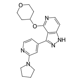 c1cc(-c2n[nH]c3ccnc(OC4CCOCC4)c23)cc(N2CCCC2)n1